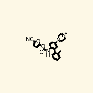 Cc1ccccc1-c1cc(N2CCN(C)CC2)ccc1NC(=O)Oc1ccc(C#N)o1